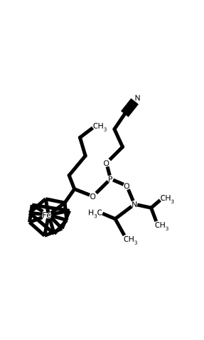 CCCCC(OP(OCCC#N)ON(C(C)C)C(C)C)[C]12[CH]3[CH]4[CH]5[CH]1[Fe]45321678[CH]2[CH]1[CH]6[CH]7[CH]28